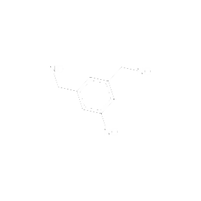 O=NCc1cc(CN=O)cc(N=O)c1